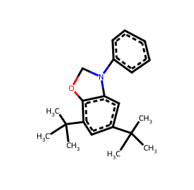 CC(C)(C)c1cc2c(c(C(C)(C)C)c1)OCN2c1ccccc1